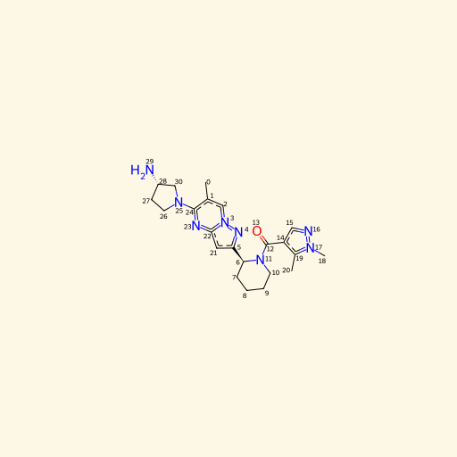 Cc1cn2nc([C@@H]3CCCCN3C(=O)c3cnn(C)c3C)cc2nc1N1CC[C@H](N)C1